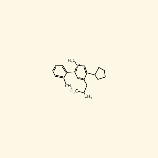 Cc1ccccc1-c1cc(CC(C)C)c(C2CCCC2)c[n+]1C